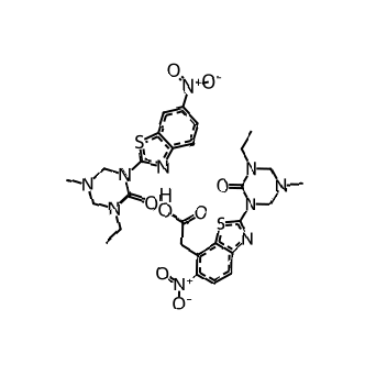 CCN1CN(C)CN(c2nc3ccc([N+](=O)[O-])c(CC(=O)O)c3s2)C1=O.CCN1CN(C)CN(c2nc3ccc([N+](=O)[O-])cc3s2)C1=O